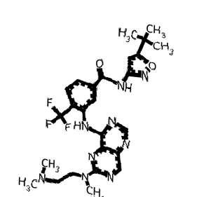 CN(C)CCN(C)c1ncc2ncnc(Nc3cc(C(=O)Nc4cc(C(C)(C)C)on4)ccc3C(F)(F)F)c2n1